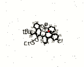 CCOCOc1c(-c2nccc3c2c(OS(=O)(=O)c2ccccc2)cc2ccc(Cl)cc23)cc2ccccc2c1CC(C)(C)C